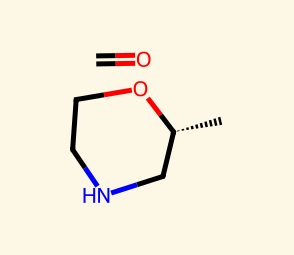 C=O.C[C@@H]1CNCCO1